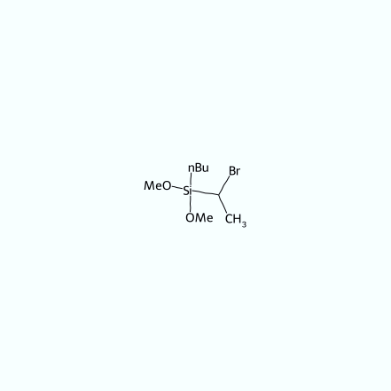 CCCC[Si](OC)(OC)C(C)Br